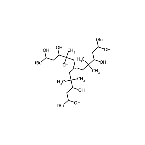 CC(C)(C)C(O)CC(O)C(C)(C)[CH2][La]([CH2]C(C)(C)C(O)CC(O)C(C)(C)C)[CH2]C(C)(C)C(O)CC(O)C(C)(C)C